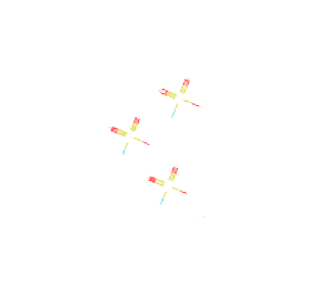 O=S(=O)([O-])F.O=S(=O)([O-])F.O=S(=O)([O-])F.[La+3]